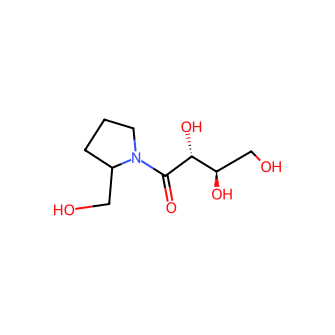 O=C([C@H](O)[C@H](O)CO)N1CCCC1CO